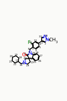 Cn1cc(-c2ccc(CN3C(=O)C4(CCN(CC5CCCCC5)C4)c4ccccc43)c(F)c2)cn1